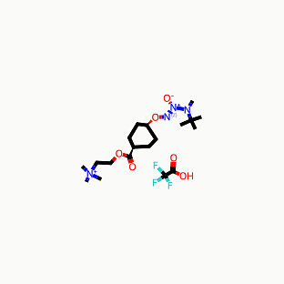 CN(/[N+]([O-])=N/O[C@H]1CC[C@@H](C(=O)OCC[N+](C)(C)C)CC1)C(C)(C)C.O=C(O)C(F)(F)F